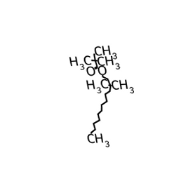 CCCCCCCCCCCC(C)(C)CCOC(=O)C(C)(C)CC